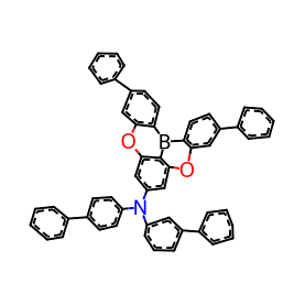 c1ccc(-c2ccc(N(c3cccc(-c4ccccc4)c3)c3cc4c5c(c3)Oc3cc(-c6ccccc6)ccc3B5c3ccc(-c5ccccc5)cc3O4)cc2)cc1